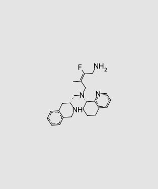 C/C(CN(C[C@H]1Cc2ccccc2CN1)[C@H]1CCCc2cccnc21)=C(\F)CN